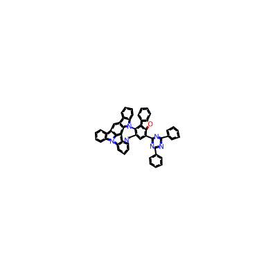 N#Cc1cc(-c2nc(-c3ccccc3)nc(-c3ccccc3)n2)c2oc3ccccc3c2c1-n1c2ccccc2c2cc3c4ccccc4n4c5ccccc5c(c21)c34